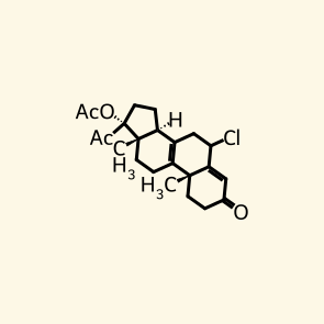 CC(=O)O[C@]1(C(C)=O)CC[C@H]2C3=C(CC[C@@]21C)[C@@]1(C)CCC(=O)C=C1C(Cl)C3